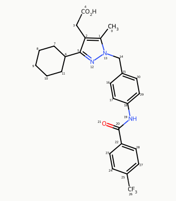 Cc1c(CC(=O)O)c(C2CCCCC2)nn1Cc1ccc(NC(=O)c2ccc(C(F)(F)F)cc2)cc1